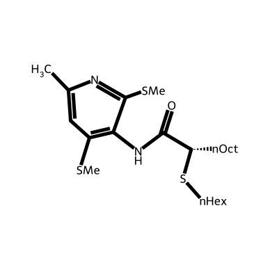 CCCCCCCC[C@H](SCCCCCC)C(=O)Nc1c(SC)cc(C)nc1SC